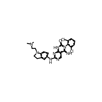 CN(C)CCN1CCc2cc(Nc3ncc4c(=N)n(-c5c(Cl)cccc5Cl)c(=O)[nH]c4n3)ccc21